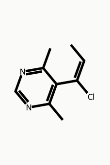 C/C=C(/Cl)c1c(C)ncnc1C